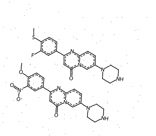 COc1ccc(-c2cc(=O)n3cc(N4CCNCC4)ccc3n2)cc1[N+](=O)[O-].CSc1ccc(-c2cc(=O)n3cc(N4CCNCC4)ccc3n2)cc1F